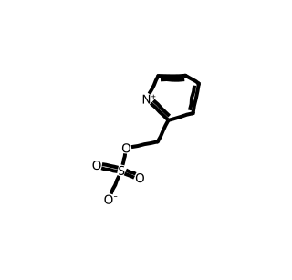 O=S(=O)([O-])OCC1=[N+]C=CC=C1